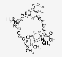 Cc1c2c(nn1C)CSCc1cc(n(C)n1)CC(F)(F)c1cc3c(c(c1)OCCCc1c(C(=O)O)n(C)c4c-2c(Cl)ccc14)CCCC3